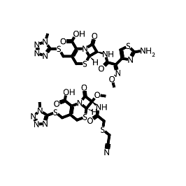 CO/N=C(\C(=O)N[C@@H]1C(=O)N2C(C(=O)O)=C(CSc3nnnn3C)CS[C@H]12)c1csc(N)n1.CO[C@@]1(NC(=O)CSCC#N)C(=O)N2C(C(=O)O)=C(CSc3nnnn3C)CS[C@@H]21